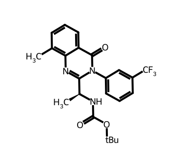 Cc1cccc2c(=O)n(-c3cccc(C(F)(F)F)c3)c([C@H](C)NC(=O)OC(C)(C)C)nc12